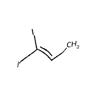 CC=C(I)I